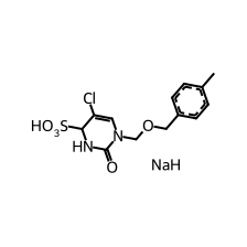 Cc1ccc(COCN2C=C(Cl)C(S(=O)(=O)O)NC2=O)cc1.[NaH]